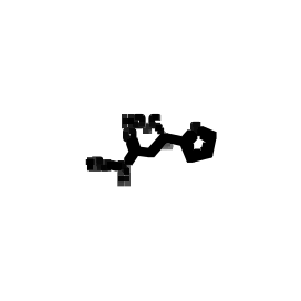 CC(C)(C)NC(=O)C[C@H](C(=O)O)c1cccs1